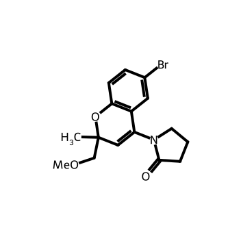 COCC1(C)C=C(N2CCCC2=O)c2cc(Br)ccc2O1